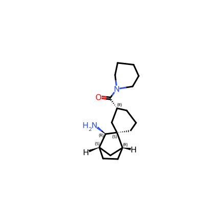 N[C@@H]1[C@H]2CC[C@H](C2)[C@@]12CCC[C@@H](C(=O)N1CCCCC1)C2